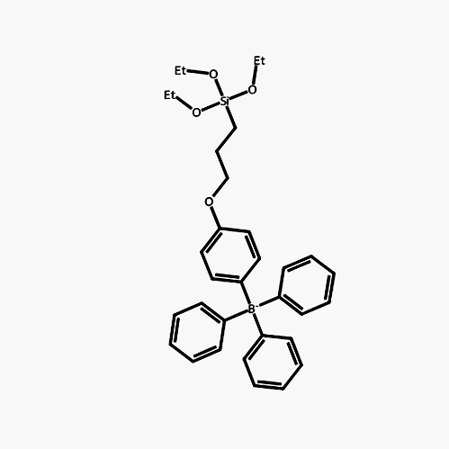 CCO[Si](CCCOc1ccc([B-](c2ccccc2)(c2ccccc2)c2ccccc2)cc1)(OCC)OCC